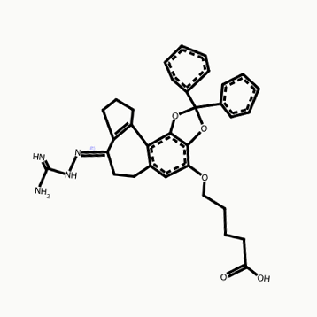 N=C(N)N/N=C1\CCc2cc(OCCCCC(=O)O)c3c(c2C2=C1CCC2)OC(c1ccccc1)(c1ccccc1)O3